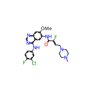 COc1cc2ncnc(Nc3ccc(F)c(Cl)c3)c2cc1NC(=O)C(F)=CCN1CCN(C)CC1